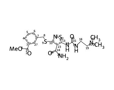 COC(=O)c1cccc(CSc2nsc(NC(=O)NCCN(C)C)c2C(N)=O)c1